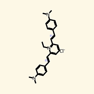 CC[n+]1c(/C=C/c2ccc(N(C)C)cc2)cccc1/C=C/c1ccc(N(C)C)cc1.[Cl-]